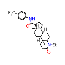 CCN1C(=O)CC[C@@]2(C)C1CC[C@@H]1[C@H]2CC[C@]2(C)C(C(=O)Nc3ccc(C(F)(F)F)cc3)CC[C@@H]12